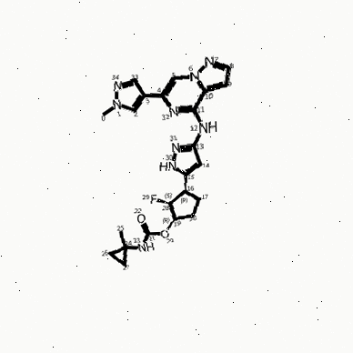 Cn1cc(-c2cn3nccc3c(Nc3cc([C@H]4CC[C@@H](OC(=O)NC5(C)CC5)[C@H]4F)[nH]n3)n2)cn1